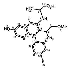 COCC(C)c1c(NC(C)C(=O)O)nc2cc(O)ccc2c1-c1ccc(F)cc1